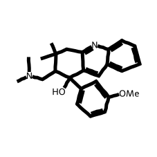 COc1cccc(C2(O)c3cc4ccccc4nc3CC(C)(C)C2CN(C)C)c1